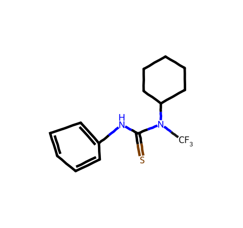 FC(F)(F)N(C(=S)Nc1ccccc1)C1CCCCC1